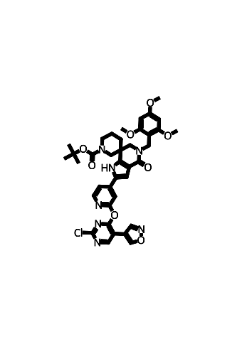 COc1cc(OC)c(CN2CC3(CCCN(C(=O)OC(C)(C)C)C3)c3[nH]c(-c4ccnc(Oc5nc(Cl)ncc5-c5cnoc5)c4)cc3C2=O)c(OC)c1